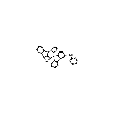 c1c(Nc2ccccc2)cc2c(c#1)C1(c3ccccc3-2)c2ccccc2-n2c3ccccc3c3cccc1c32